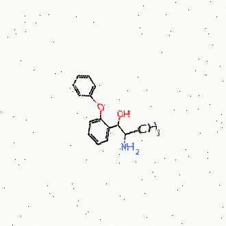 CC(N)C(O)c1ccccc1Oc1ccccc1